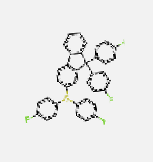 Fc1ccc([S+](c2ccc(F)cc2)c2ccc3c(c2)C(c2ccc(F)cc2)(c2ccc(F)cc2)c2ccccc2-3)cc1